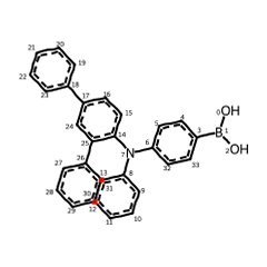 OB(O)c1ccc(N(c2ccccc2)c2ccc(-c3ccccc3)cc2-c2ccccc2)cc1